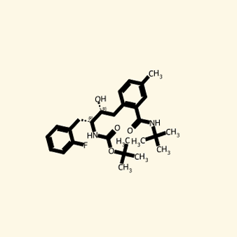 Cc1ccc(C[C@@H](O)[C@@H](Cc2ccccc2F)NC(=O)OC(C)(C)C)c(C(=O)NC(C)(C)C)c1